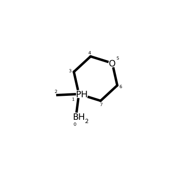 B[PH]1(C)CCOCC1